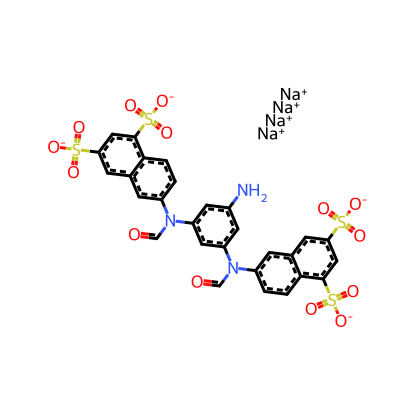 Nc1cc(N(C=O)c2ccc3c(S(=O)(=O)[O-])cc(S(=O)(=O)[O-])cc3c2)cc(N(C=O)c2ccc3c(S(=O)(=O)[O-])cc(S(=O)(=O)[O-])cc3c2)c1.[Na+].[Na+].[Na+].[Na+]